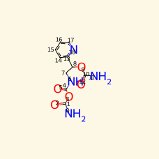 NC(=O)OC(=O)NCC(OC(N)=O)c1ccccn1